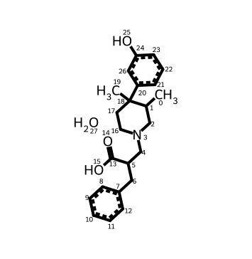 CC1CN(CC(Cc2ccccc2)C(=O)O)CCC1(C)c1cccc(O)c1.O